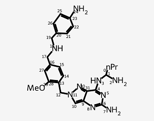 CCCC(N)Nc1nc(N)nc2cn(Cc3ccc(CNCc4ccc(N)cc4)cc3OC)nc12